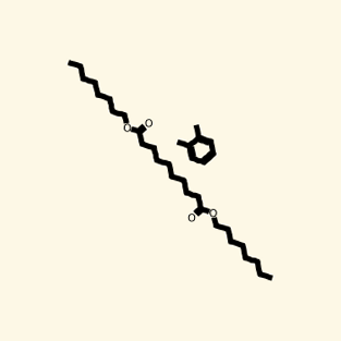 CCCCCCCCOC(=O)CCCCCCCCC(=O)OCCCCCCCC.Cc1ccccc1C